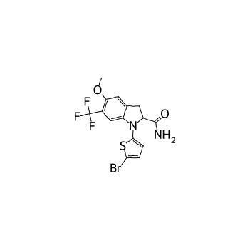 COc1cc2c(cc1C(F)(F)F)N(c1ccc(Br)s1)C(C(N)=O)C2